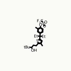 CCC(CC)(c1ccc(OS(=O)(=O)C(F)(F)F)c(C)c1)c1cc(C)c(CCC(O)C(C)(C)C)s1